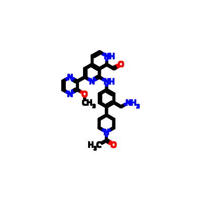 COc1nccnc1-c1cc2c(c(Nc3ccc(C4CCN(C(C)=O)CC4)c(CN)c3)n1)C(C=O)NC=C2